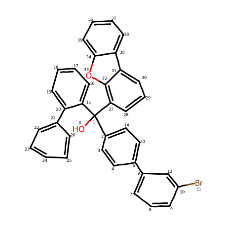 OC(c1ccc(-c2cccc(Br)c2)cc1)(c1ccccc1-c1ccccc1)c1cccc2c1oc1ccccc12